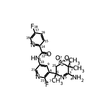 CC1(C)C(N)=N[C@](C)(c2cc(NC(=O)c3ccc(F)cn3)cnc2F)CS1(=O)=O